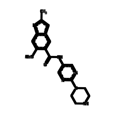 COc1cc2nc(C)cn2cc1C(=O)Nc1cnc(N2CCNCC2)nc1